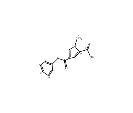 Cn1cc(C(=O)Cc2ccccc2)cc1C(=O)O